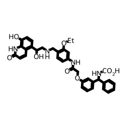 CCOc1cc(NC(=O)COc2cccc(C(NC(=O)O)c3ccccc3)c2)ccc1CNCC(O)c1ccc(O)c2[nH]c(=O)ccc12